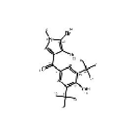 Cn1cc(C(=O)c2cc(C(C)(C)C)c(O)c(C(C)(C)C)c2)c(Br)c1Br